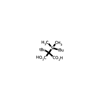 CC(C)(C)C(C(=O)O)(C(=O)O)[Si](C)(C)C(C)(C)C